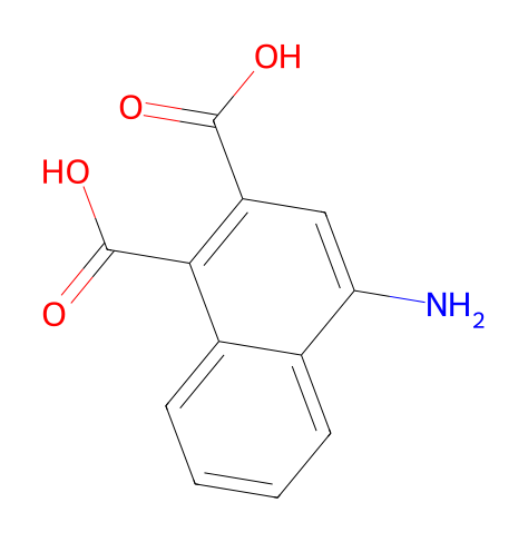 Nc1cc(C(=O)O)c(C(=O)O)c2ccccc12